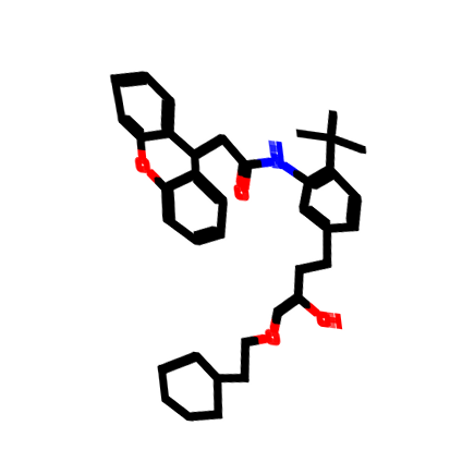 CC(C)(C)c1ccc(CCC(O)COCCC2CCCCC2)cc1NC(=O)CC1c2ccccc2Oc2ccccc21